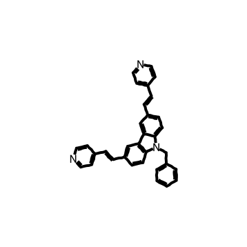 C(=Cc1ccc2c(c1)c1cc(C=Cc3ccncc3)ccc1n2Cc1ccccc1)c1ccncc1